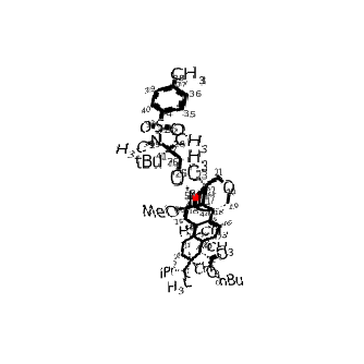 CCCCOC(=O)[C@@H]1[C@@](C)([C@H](C)C(C)C)CC[C@]2(C)[C@H]3CC[C@@H]4[C@@]5(COC[C@]4(C)[C@@H](OC[C@](C)(N(C)S(=O)(=O)c4ccc(C)cc4)C(C)(C)C)[C@H](OC)C5)C3=CC[C@@]12C